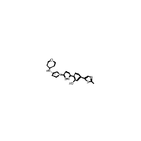 Cc1ncc(-c2ccc(-c3ccc(N4CC[C@H](NC5CCOCC5)C4)nn3)c(O)c2)s1